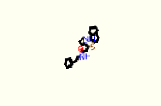 O=C(CC(Sc1ccc2ccccc2c1)C1CCCN1)NCCc1ccccc1